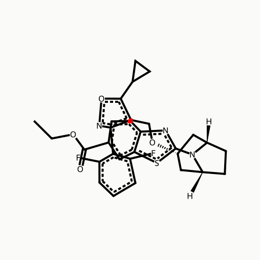 CCOC(=O)c1ccc2nc(N3[C@@H]4CC[C@H]3C[C@@H](OCc3c(-c5c(F)cccc5F)noc3C3CC3)C4)sc2c1